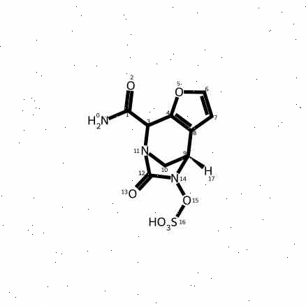 NC(=O)C1c2occc2[C@H]2CN1C(=O)N2OS(=O)(=O)O